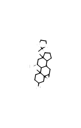 CC1([C@H]2CCC3C4CC5OC56CC(O)CCC6(C)C4[C@@H](O)CC32C)OCCO1